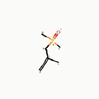 C=C(C)CP(C)(C)=O